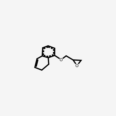 C1=Cc2cccc(OCC3CO3)c2CC1